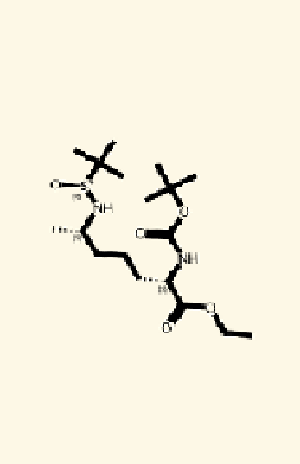 CCOC(=O)[C@H](CCC[C@H](C)N[S@@+]([O-])C(C)(C)C)NC(=O)OC(C)(C)C